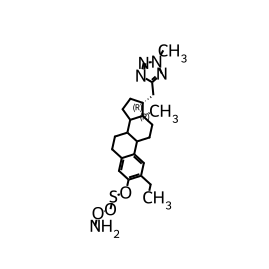 CCc1cc2c(cc1OSOON)CCC1C2CC[C@@]2(C)C1CC[C@@H]2Cc1nnn(C)n1